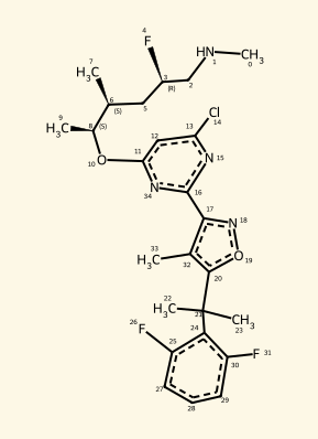 CNC[C@H](F)C[C@H](C)[C@H](C)Oc1cc(Cl)nc(-c2noc(C(C)(C)c3c(F)cccc3F)c2C)n1